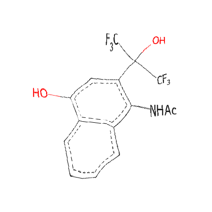 CC(=O)Nc1c(C(O)(C(F)(F)F)C(F)(F)F)cc(O)c2ccccc12